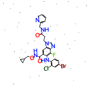 O=C(CCn1cnc2c(F)c(Nc3ccc(Br)cc3Cl)c(C(=O)NOCC3CC3)cc21)NCc1ccccn1